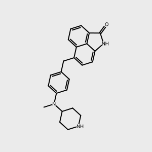 CN(c1ccc(Cc2ccc3c4c(cccc24)C(=O)N3)cc1)C1CCNCC1